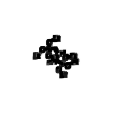 C=C[Si](OCC)(OCC)OCC.CCC[Si](OCC)(OCC)OCC